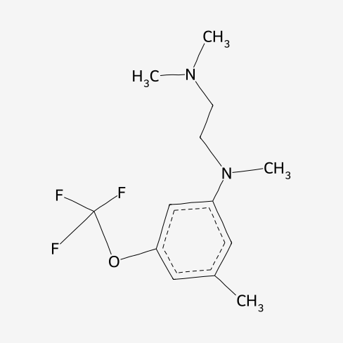 Cc1cc(OC(F)(F)F)cc(N(C)CCN(C)C)c1